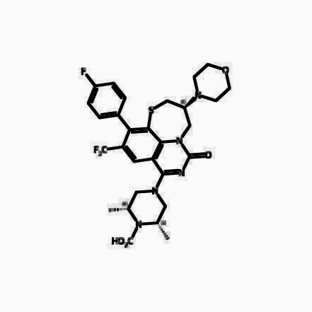 C[C@@H]1CN(c2nc(=O)n3c4c(c(-c5ccc(F)cc5)c(C(F)(F)F)cc24)SC[C@@H](N2CCOCC2)C3)C[C@H](C)N1C(=O)O